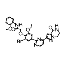 CCOc1cc(-c2nccc(-c3cc4n(n3)CCNC4=O)n2)cc(Br)c1OCC(=O)Nc1ccccc1OC